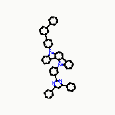 c1ccc(-c2cccc(-c3ccc(-n4c5ccccc5c5c4ccc4c6ccccc6n(-c6cccc(-c7nc(-c8ccccc8)cc(-c8ccccc8)n7)c6)c45)cc3)c2)cc1